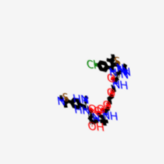 CNC[C@H](NC(=O)[C@@H]1C[C@@H](O)CN1C(=O)[C@@H](NC(=O)COCCCOCCNC(=O)C[C@@H]1N=C(c2ccc(Cl)cc2)c2c(sc(C)c2C)-n2c(C)nnc21)C(C)(C)C)c1ccc(-c2scnc2C)cc1